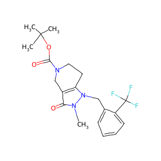 Cn1c(=O)c2c(n1Cc1ccccc1C(F)(F)F)CCN(C(=O)OC(C)(C)C)C2